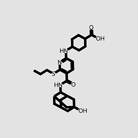 CCCSc1nc(NC2CCC(C(=O)O)CC2)ccc1C(=O)NC1C2CC3CC1CC(O)(C3)C2